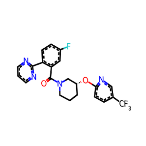 O=C(c1cc(F)ccc1-c1ncccn1)N1CCC[C@@H](Oc2ccc(C(F)(F)F)cn2)C1